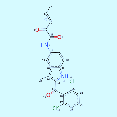 C/C=C/C(=O)C(=O)Nc1ccc2[nH]c(C(=O)c3c(Cl)cccc3Cl)c(C)c2c1